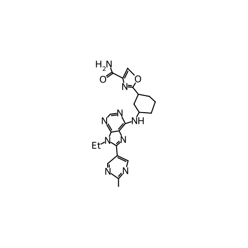 CCn1c(-c2cnc(C)nc2)nc2c(NC3CCCC(c4nc(C(N)=O)co4)C3)ncnc21